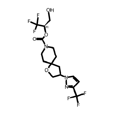 O=C(O[C@H](CO)C(F)(F)F)N1CCC2(CC1)CC(n1ccc(C(F)(F)F)n1)CO2